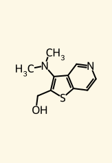 CN(C)c1c(CO)sc2ccncc12